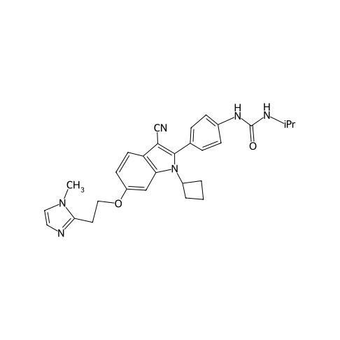 CC(C)NC(=O)Nc1ccc(-c2c(C#N)c3ccc(OCCc4nccn4C)cc3n2C2CCC2)cc1